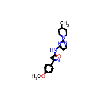 COc1ccc(-c2cc(Nc3ccnc(N4CCC(C)CC4)n3)on2)cc1